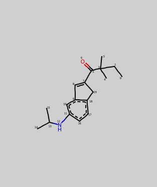 CCC(C)(C)C(=O)C1=Cc2cc(NC(C)C)ccc2C1